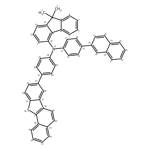 CC1(C)c2ccccc2-c2c(N(c3ccc(-c4ccc5ccccc5c4)cc3)c3ccc(-c4ccc5sc6c7ccccc7ccc6c5c4)cc3)cccc21